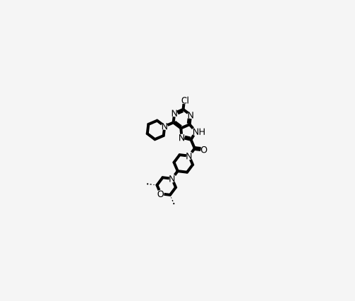 C[C@@H]1CN(C2CCN(C(=O)c3nc4c(N5CCCCC5)nc(Cl)nc4[nH]3)CC2)C[C@H](C)O1